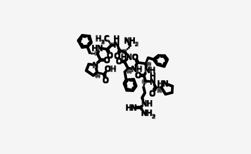 C[C@H](NC(=O)[C@H](CN)NC(=O)[C@H](Cc1ccccc1)NC(=O)[C@@H](Cc1ccccc1)NC(=O)[C@@H](CCCNC(=N)N)NC(=O)[C@@H]1CCCN1)C(=O)N[C@@H](Cc1ccccc1)C(=O)N1CCC[C@@H]1C(=O)O